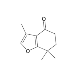 Cc1coc2c1C(=O)CCC2(C)C